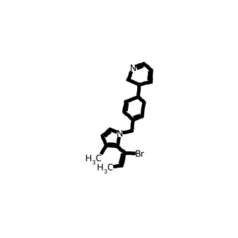 C/C=C(/Br)c1c(C)ccn1CC1=CCC(C2C=CC=NC2)C=C1